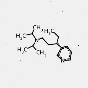 CC[C](CCN(C(C)C)C(C)C)c1cccnc1